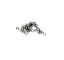 COc1ccc(COc2cccc(S(=O)(=O)NC(=O)c3ccc(C(C)(C)C)nc3N3CC(C)CC3(C)C)n2)cc1